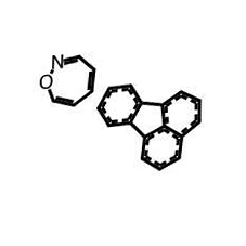 C1=CC=NOC=C1.c1ccc2c(c1)-c1cccc3cccc-2c13